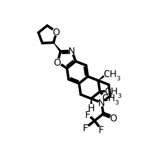 CC1(C)[C@H]2Cc3cc4oc([C@H]5CCCO5)nc4cc3[C@]1(C)CCN2C(=O)C(F)(F)F